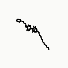 CCCCCCCCCCCCc1cnc(-c2ccc(CCCCc3ccccc3)cc2)nc1